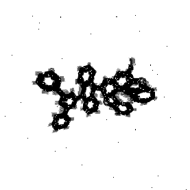 Ic1cc2cc(-c3c4ccccc4c(-c4cc(-c5ccccc5)cc(-c5ccccc5)c4)c4ccccc34)c3oc4ccccc4c3c2c2c1oc1ccccc12